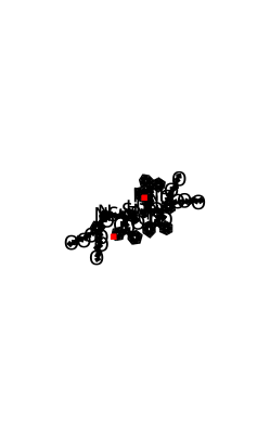 COCCOCOc1ccc(-c2nnc(SCC3=C(C(=O)OC(c4ccccc4)c4ccccc4)N4C(=O)[C@@H](NC(=O)/C(=N/OC(C(=O)OC(c5ccccc5)c5ccccc5)c5ccc(OCOCCOC)c(OCOCCOC)c5)c5csc(NC(c6ccccc6)(c6ccccc6)c6ccccc6)n5)[C@H]4SC3)o2)cc1OCOCCOC